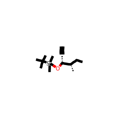 C#C[C@@H](O[Si](C)(C)C(C)(C)C)[C@@H](C)CC